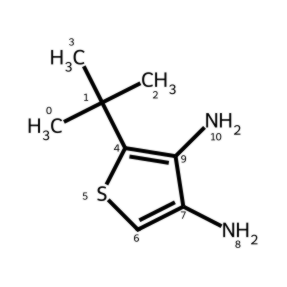 CC(C)(C)c1scc(N)c1N